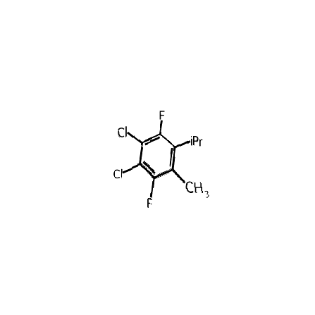 Cc1c(F)c(Cl)c(Cl)c(F)c1C(C)C